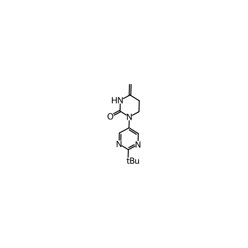 C=C1CCN(c2cnc(C(C)(C)C)nc2)C(=O)N1